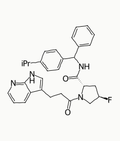 CC(C)c1ccc(C(NC(=O)[C@@H]2C[C@@H](F)CN2C(=O)CCc2c[nH]c3ncccc23)c2ccccc2)cc1